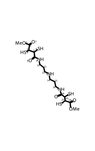 COC(=O)C(S)C(S)C(=O)NCCCNCCCNC(=O)C(S)C(S)C(=O)OC